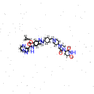 O=C1CCC(N2CCN(C3CCN(CC4CCC(n5cc6cc(NC(=O)c7cnn8cccnc78)c(OCC7CC7)cc6n5)CC4)CC3)CC2=O)C(=O)N1